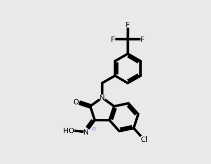 O=C1/C(=N\O)c2cc(Cl)ccc2N1Cc1cccc(C(F)(F)F)c1